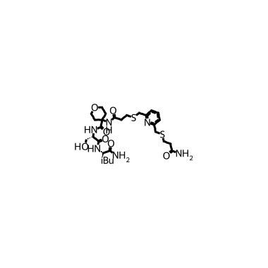 CC[C@H](C)[C@H](NC(=O)[C@H](CO)NC(=O)C1(NC(=O)CCSCc2cccc(CSCCC(N)=O)n2)CCOCC1)C(N)=O